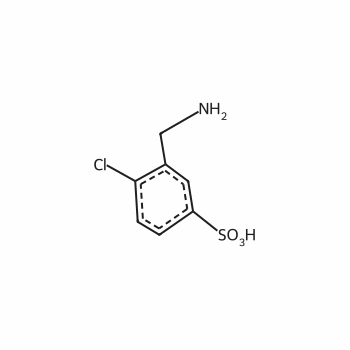 NCc1cc(S(=O)(=O)O)ccc1Cl